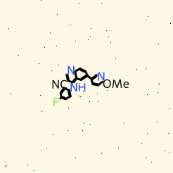 COc1ccc(-c2ccc3ncc(C#N)c(Nc4ccc(F)cc4)c3c2)cn1